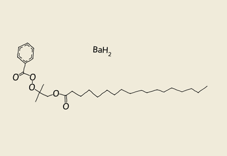 CCCCCCCCCCCCCCCCCC(=O)OCC(C)(C)OOC(=O)c1ccccc1.[BaH2]